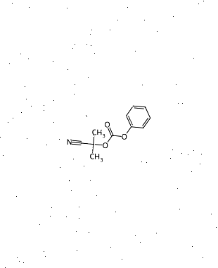 CC(C)(C#N)OC(=O)Oc1ccccc1